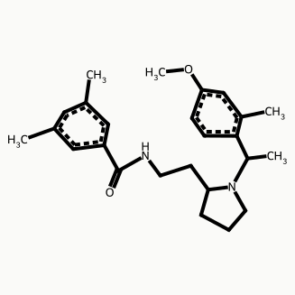 COc1ccc(C(C)N2CCCC2CCNC(=O)c2cc(C)cc(C)c2)c(C)c1